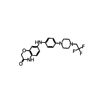 O=C1COc2cc(Nc3ccc(N4CCN(CC(F)(F)F)CC4)cc3)ccc2N1